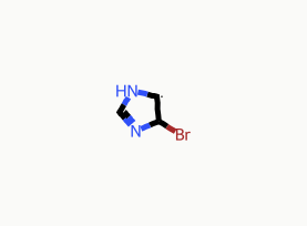 BrC1[CH]NC=N1